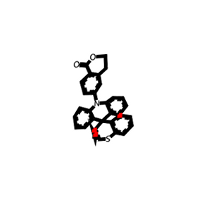 O=C1OCCc2cc(N3c4ccccc4C4(c5ccccc5Sc5ccccc54)c4ccccc43)ccc21